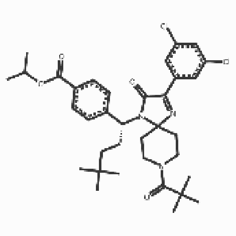 CC(C)OC(=O)c1ccc([C@@H](CCC(C)(C)C)N2C(=O)C(c3cc(Cl)cc(Cl)c3)=NC23CCN(C(=O)C(C)(C)C)CC3)cc1